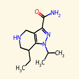 CCC1CNCc2c(C(N)=O)nn(C(C)C)c21